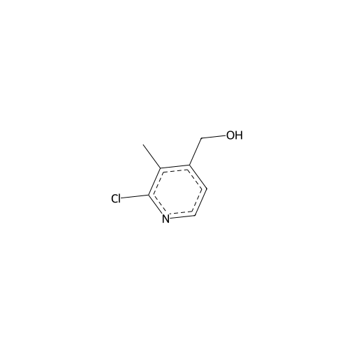 Cc1c(CO)ccnc1Cl